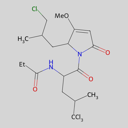 CCC(=O)NC(CC(C)C(Cl)(Cl)Cl)C(=O)N1C(=O)C=C(OC)C1CC(C)CCl